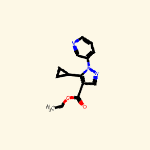 CCOC(=O)c1cnn(-c2cccnc2)c1C1CC1